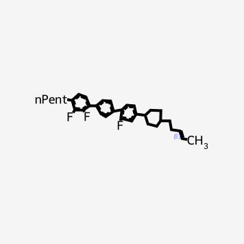 C/C=C/CCC1CCC(c2ccc(-c3ccc(-c4ccc(CCCCC)c(F)c4F)cc3)c(F)c2)CC1